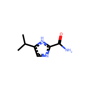 CC(C)c1cnc(C(N)=O)[nH]1